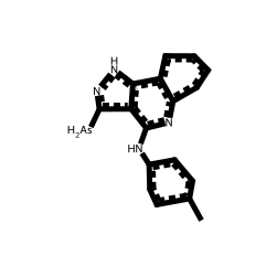 Cc1ccc(Nc2nc3ccccc3c3[nH]nc([AsH2])c23)cc1